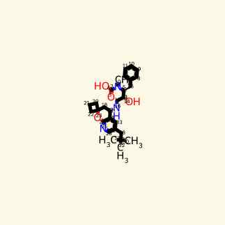 CN(C(=O)O)[C@@H](Cc1ccccc1)[C@@H](O)CN[C@H]1CC2(CCC2)Oc2ncc(CC(C)(C)C)cc21